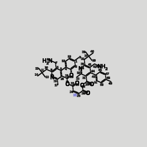 Cc1ccc(-c2c(CN)c(CC(C)(C)C)nc(C)c2C(=O)OC(=O)/C=C\C(=O)OC(=O)c2c(C)nc(CC(C)(C)C)c(CN)c2-c2ccc(C)cc2)cc1